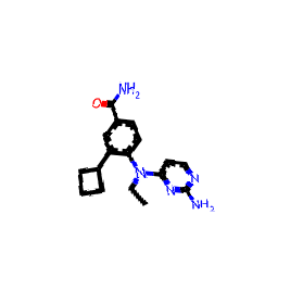 CCN(c1ccnc(N)n1)c1ccc(C(N)=O)cc1C1CCC1